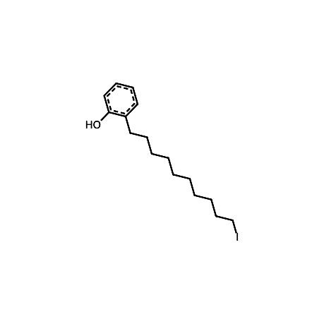 Oc1ccccc1CCCCCCCCCCI